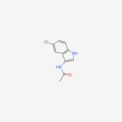 CC(=O)Nc1c[nH]c2ccc(Cl)cc12